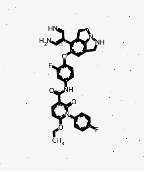 CCOc1ccc(C(=O)Nc2ccc(Oc3cc4c5c(c3/C(C=N)=C/N)CCN5NC4)c(F)c2)c(=O)n1-c1ccc(F)cc1